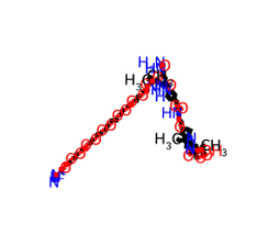 CCc1c2c(nc3ccc(OCCCNC(=O)OCc4ccc(NC(=O)[C@H](CCCNC(N)=O)NC(=O)[C@@H](NC(=O)CCOCCOCCOCCOCCOCCOCCOCCOCCOCCOCCOCCN=[N+]=[N-])C(C)C)cc4)cc13)-c1cc3c(c(=O)n1C2)COC(=O)[C@]3(O)CC